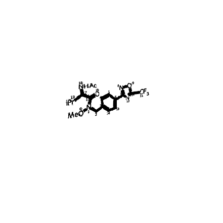 CON(Cc1ccc(-c2noc(C(F)(F)F)n2)cc1)C(=O)C(NC(C)=O)C(C)C